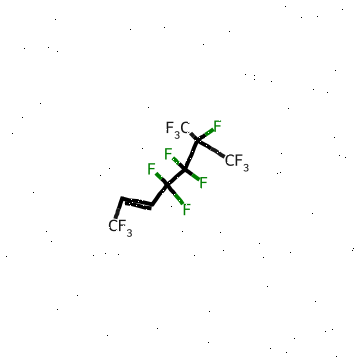 FC(F)(F)C=CC(F)(F)C(F)(F)C(F)(C(F)(F)F)C(F)(F)F